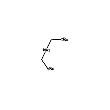 CCCC[CH2][Mg][CH2]C(C)(C)C